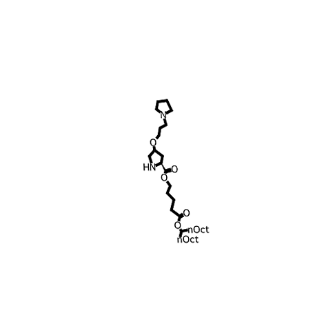 CCCCCCCCC(CCCCCCCC)OC(=O)CCCCOC(=O)[C@@H]1CC(OCCCN2CCCC2)CN1